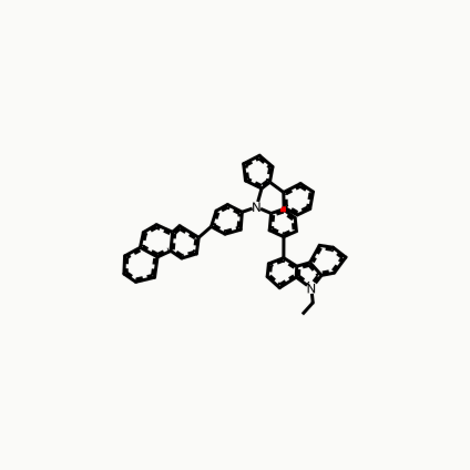 CCn1c2ccccc2c2c(-c3cccc(N(c4ccc(-c5ccc6c(ccc7ccccc76)c5)cc4)c4ccccc4-c4ccccc4)c3)cccc21